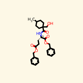 CC1CCC(CO)(C(=O)N[C@@H](CCC(=O)OCc2ccccc2)C(=O)OCc2ccccc2)CC1